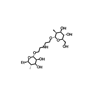 CC[C@H]1O[C@H](OCCNCCO[C@H]2O[C@H](CO)[C@@H](O)[C@H](O)[C@@H]2C)[C@@H](O)[C@@H](O)[C@@H]1C